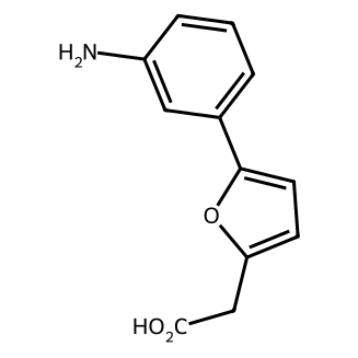 Nc1cccc(-c2ccc(CC(=O)O)o2)c1